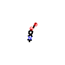 COCCOC1CCC2(CC1)CN(C(C)(C)C)C2